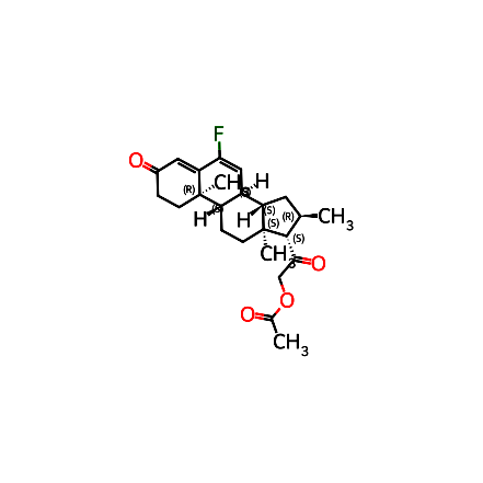 CC(=O)OCC(=O)[C@H]1[C@H](C)C[C@H]2[C@@H]3C=C(F)C4=CC(=O)CC[C@]4(C)[C@H]3CC[C@@]21C